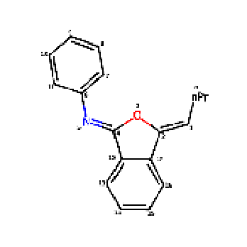 CCC/C=C1\O/C(=N\c2ccccc2)c2ccccc21